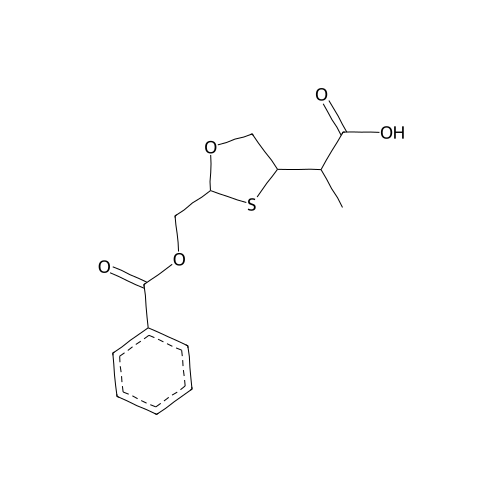 CC(C(=O)O)C1COC(COC(=O)c2ccccc2)S1